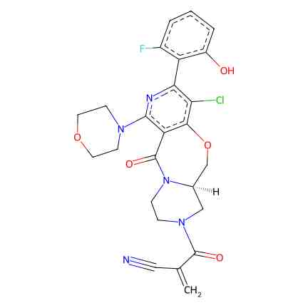 C=C(C#N)C(=O)N1CCN2C(=O)c3c(N4CCOCC4)nc(-c4c(O)cccc4F)c(Cl)c3OC[C@H]2C1